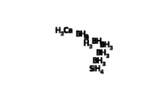 B.B.B.B.B.B.[CaH2].[SiH4]